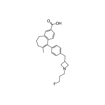 CC1=C(c2ccc(CC3CN(CCCF)C3)cc2)c2ccc(C(=O)O)cc2CCC1